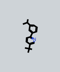 CC(C)c1cccc(-c2ccc(C(C)(C)C)cn2)c1